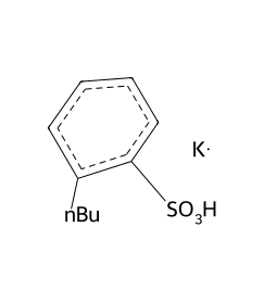 CCCCc1ccccc1S(=O)(=O)O.[K]